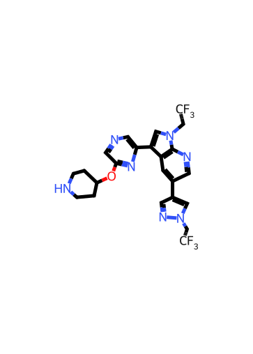 FC(F)(F)Cn1cc(-c2cnc3c(c2)c(-c2cncc(OC4CCNCC4)n2)cn3CC(F)(F)F)cn1